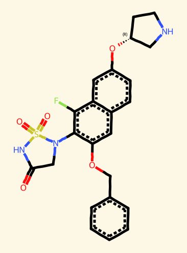 O=C1CN(c2c(OCc3ccccc3)cc3ccc(O[C@@H]4CCNC4)cc3c2F)S(=O)(=O)N1